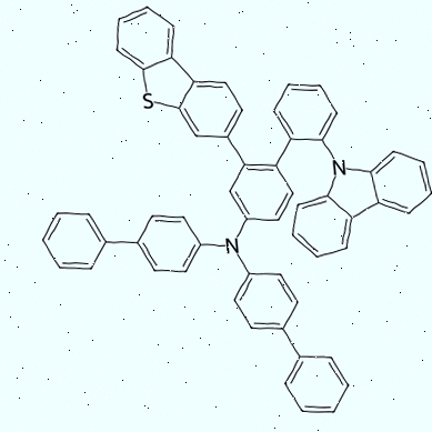 c1ccc(-c2ccc(N(c3ccc(-c4ccccc4)cc3)c3ccc(-c4ccccc4-n4c5ccccc5c5ccccc54)c(-c4ccc5c(c4)sc4ccccc45)c3)cc2)cc1